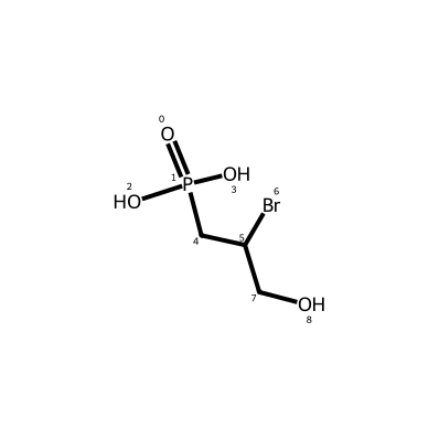 O=P(O)(O)CC(Br)CO